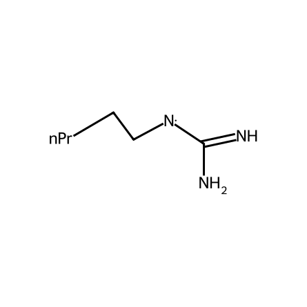 CCCCC[N]C(=N)N